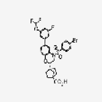 O=C(O)C12CCC([C@H]3CN(S(=O)(=O)c4ccc(Br)cc4)c4cc(-c5cc(F)cc(OC(F)F)c5)ccc4O3)(CC1)C2